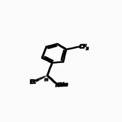 CC[C@@H](NC)c1cccc(C(F)(F)F)c1